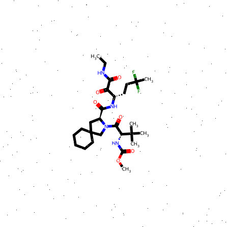 CCNC(=O)C(=O)[C@H](CCC(C)(F)F)NC(=O)[C@@H]1CC2(CCCCC2)CN1C(=O)[C@@H](NC(=O)OC)C(C)(C)C